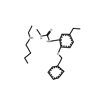 CCCCNCC.CCc1ccc(OCc2ccccc2)c(NC(=O)NC)c1